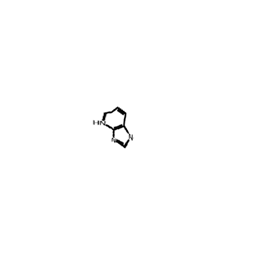 C1=CC2=C(N=C[N]2)NC1